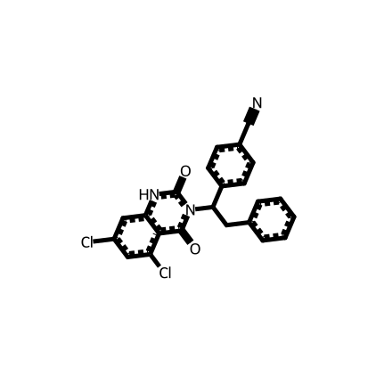 N#Cc1ccc(C(Cc2ccccc2)n2c(=O)[nH]c3cc(Cl)cc(Cl)c3c2=O)cc1